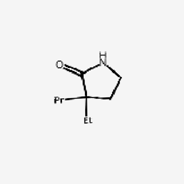 CCC1(C(C)C)CCNC1=O